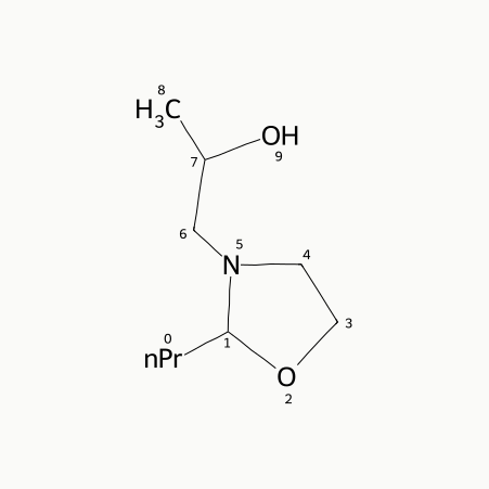 CCCC1OCCN1CC(C)O